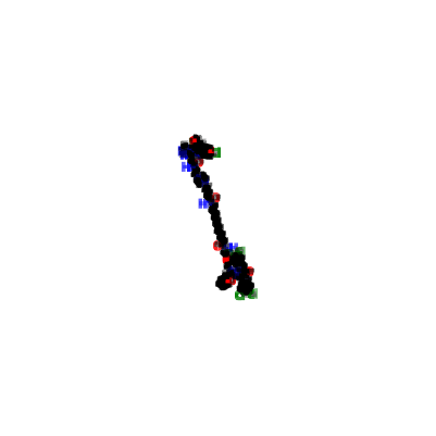 Cc1sc2c(c1C)C(c1ccc(Cl)cc1)=N[C@@H](CC(=O)NCCN1CCN(CCCCC(=O)NCCCCCCCCCCCC(=O)NCCOCCN[C@@H](Cc3ccccc3)C(=O)N3C/C(=C\c4ccc(Cl)c(Cl)c4)C(=O)/C(=C/c4ccc(Cl)c(Cl)c4)C3)CC1)c1nnc(C)n1-2